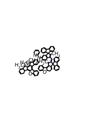 C=C1C2=C3c4ccccc4OC3CC=C2C2(/C1=C/C1=C(C)C3(c4cc(N(c5ccc6c(c5)C(C)(C)c5c7c(c8oc9ccccc9c8c5-6)C5CC=CC=C5C7(C)C)c5ccccn5)ccc41)c1ccccc1-c1ccccc13)c1ccccc1-c1ccccc12